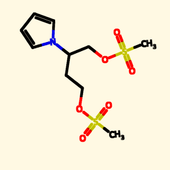 CS(=O)(=O)OCCC(COS(C)(=O)=O)n1cccc1